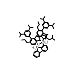 CCCc1ccc2c(c1-c1cc(C(C)C)cc(C(C)C)c1)C=C(CC(C)C)[CH]2[Zr]([Cl])([Cl])([c]1cccc2c1[SiH2]c1ccccc1-2)[CH]1C(CC(C)C)=Cc2c1ccc(CCC)c2-c1cc(C(C)C)cc(C(C)C)c1